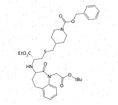 CCOC(=O)[C@H](CSCC1CCN(C(=O)OCc2ccccc2)CC1)NC1CCc2ccccc2N(CC(=O)OC(C)(C)C)C1=O